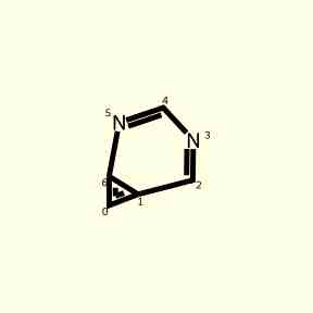 C1=c2cncnc2=1